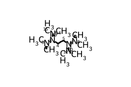 CN(C)N(CCN(N(C)C)N(C)C)N(C)C